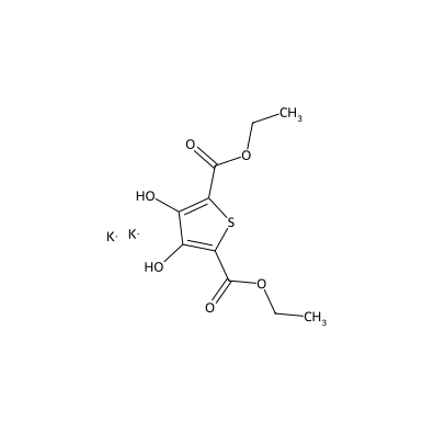 CCOC(=O)c1sc(C(=O)OCC)c(O)c1O.[K].[K]